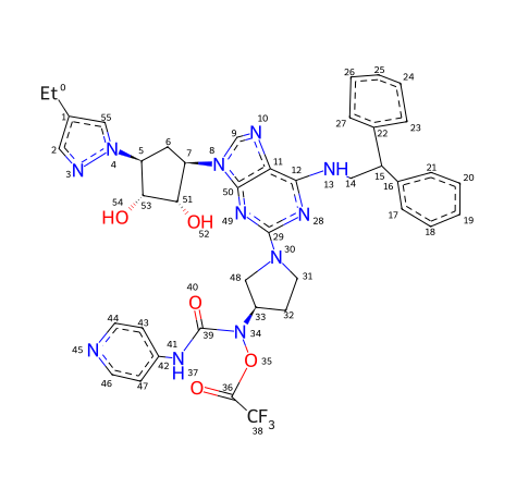 CCc1cnn([C@H]2C[C@@H](n3cnc4c(NCC(c5ccccc5)c5ccccc5)nc(N5CC[C@@H](N(OC(=O)C(F)(F)F)C(=O)Nc6ccncc6)C5)nc43)[C@H](O)[C@@H]2O)c1